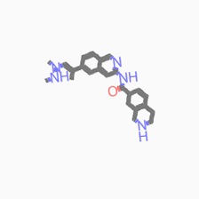 CNN(C)/C=C(\C)c1ccc2cnc(NC(=O)C3C=CC4=C(CNCC4)C3)cc2c1